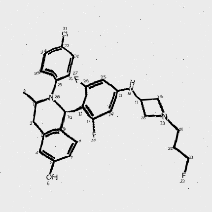 CC1Cc2cc(O)ccc2[C@H](c2c(F)cc(NC3CN(CCCF)C3)cc2F)N1c1ccc(Cl)cc1